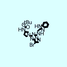 CC(C)(C)OC(=O)N[C@@H]1CCN(c2nc(NCc3nc4ccccc4[nH]3)n3ncc(Br)c3n2)C1